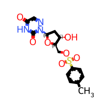 Cc1ccc(S(=O)(=O)OC[C@H]2O[C@@H](n3ncc(=O)[nH]c3=O)C[C@@H]2O)cc1